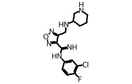 N=C(Nc1ccc(F)c(Cl)c1)c1nonc1CNC1CCCNC1